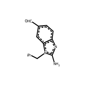 CC(C)Cn1c(N)nc2ccc(C=O)cc21